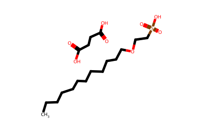 CCCCCCCCCCCCOCCS(=O)(=O)O.O=C(O)CCC(=O)O